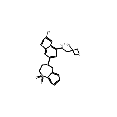 NC1(CNc2cc(N3CCS(=O)(=O)c4ccccc4C3)nc3ccc(Cl)cc23)COC1